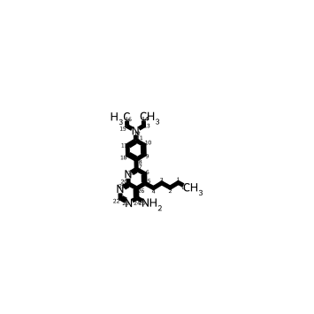 CCCCCc1cc(-c2ccc(N(CC)CC)cc2)nc2ncnc(N)c12